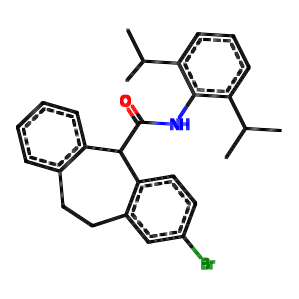 CC(C)c1cccc(C(C)C)c1NC(=O)C1c2ccccc2CCc2cc(Br)ccc21